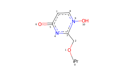 CC(C)OCc1nc(=O)ccn1O